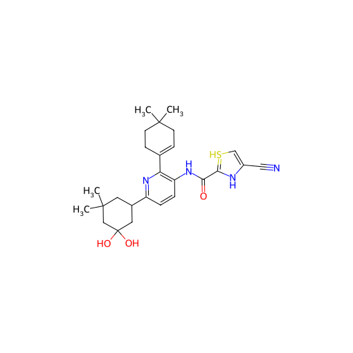 CC1(C)CC=C(c2nc(C3CC(C)(C)CC(O)(O)C3)ccc2NC(=O)C2=[SH]C=C(C#N)N2)CC1